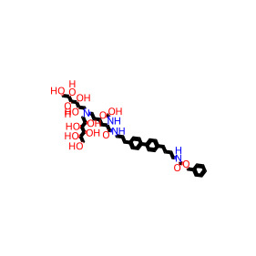 O=C(O)NC(CCCCN(CC(O)C(O)C(O)C(O)CO)CC(O)C(O)C(O)C(O)CO)C(=O)NCCCc1ccc(-c2ccc(CCCCNC(=O)OCc3ccccc3)cc2)cc1